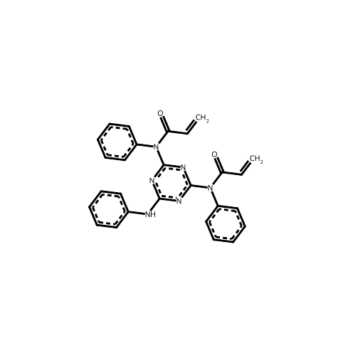 C=CC(=O)N(c1ccccc1)c1nc(Nc2ccccc2)nc(N(C(=O)C=C)c2ccccc2)n1